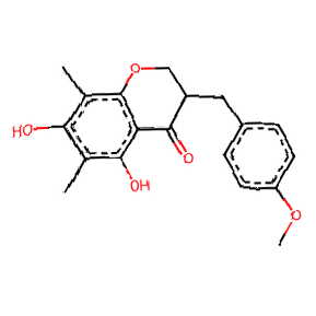 COc1ccc(CC2COc3c(C)c(O)c(C)c(O)c3C2=O)cc1